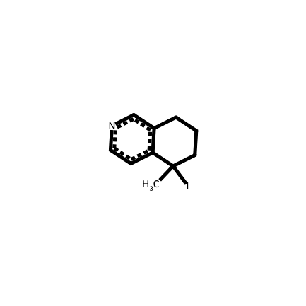 CC1(I)CCCc2cnccc21